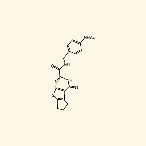 CC(=O)Nc1ccc(CNC(=O)c2nc3sc4c(c3c(=O)[nH]2)CCC4)cc1